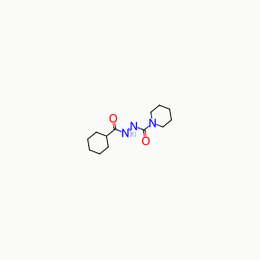 O=C(/N=N/C(=O)N1CCCCC1)C1CCCCC1